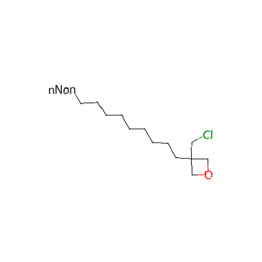 CCCCCCCCCCCCCCCCCCC1(CCl)COC1